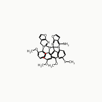 COc1ccc(N(C2=Nc3occc3CN2c2ccccc2OC)C2(c3ccc(OC)cc3)N=c3occc3=C(N)N2c2ccc(SC)cc2)cc1